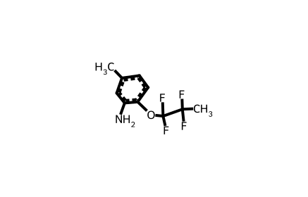 Cc1ccc(OC(F)(F)C(C)(F)F)c(N)c1